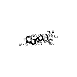 CSc1ncnn2c([C@]3(C#N)O[C@H](CO[Si](C)(C)C(C)(C)C)C(O[Si](C)(C)C(C)(C)C)[C@@]3(C)C#N)ccc12